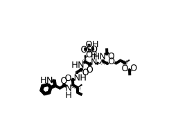 CC[C@H](C)[C@H](NC(=O)Cc1c[nH]c2ccccc12)C(=O)NCC(=O)N[C@@H](COS(=O)(=O)O)C(=O)NC[C@@H](COCC[C@@H](C)OC(C)=O)NC(C)=O